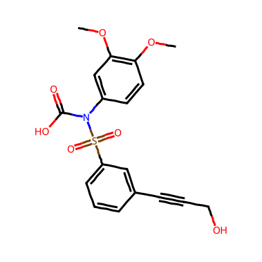 COc1ccc(N(C(=O)O)S(=O)(=O)c2cccc(C#CCO)c2)cc1OC